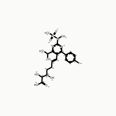 CC(C)c1nc(N(C)S(C)(=O)=O)nc(-c2ccc(F)cc2)c1C=CCC[C@@H](O)C(O)C(=O)O